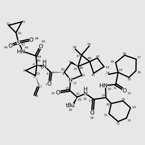 C=C[C@@H]1C[C@]1(NC(=O)[C@@H]1C[C@@]2(CN1C(=O)[C@@H](NC(=O)C(NC(=O)C1(C)CCCCC1)C1CCCCC1)C(C)(C)C)C(C)(C)C21CCC1)C(=O)NS(=O)(=O)C1CC1